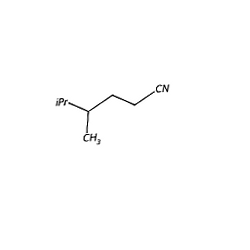 CC(C)C(C)CCC#N